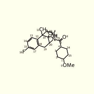 COC1CCC(C(=O)N2CCC3(C)c4ccc(F)cc4CC2C3(C)C)CC1